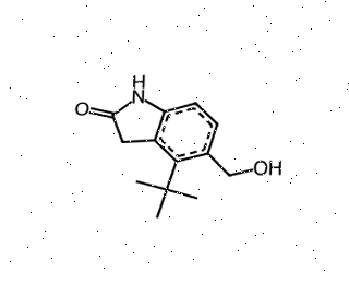 CC(C)(C)c1c(CO)ccc2c1CC(=O)N2